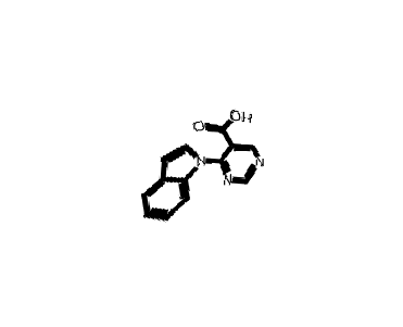 O=C(O)c1cncnc1-n1ccc2ccccc21